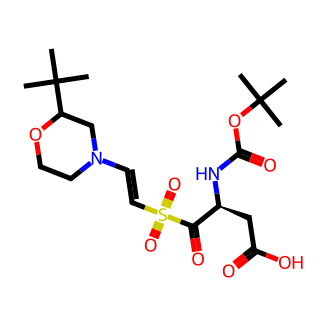 CC(C)(C)OC(=O)N[C@@H](CC(=O)O)C(=O)S(=O)(=O)C=CN1CCOC(C(C)(C)C)C1